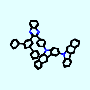 c1ccc(-c2cc(-c3ccccc3)cc(-c3nc4ccccc4nc3-c3ccc(-n4c5ccc(-n6c7ccccc7c7cc8ccccc8cc76)cc5c5cc6ccccc6cc54)cc3)c2)cc1